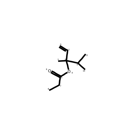 C=CC(C)(OC(=O)CC)C(C)C